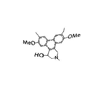 COc1cc2c3c(c4cc(OC)c(C)cc4c2cc1C)C(O)CN(C)C3